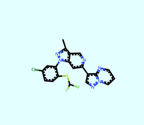 Cc1nn(-c2cc(Cl)ccc2SC(F)F)c2cc(-c3cnn4cccnc34)ncc12